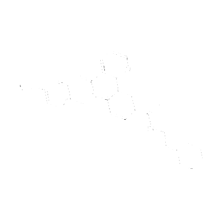 COc1ccc(Cn2c3c(c4ncccc4c2=O)CC(C(=O)NCCN2CCCCC2)C=C3)cc1